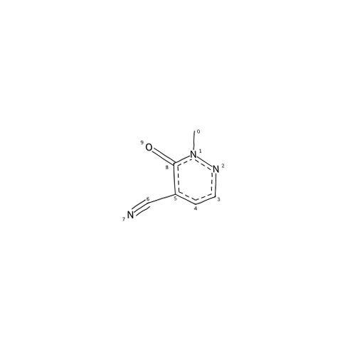 Cn1nccc(C#N)c1=O